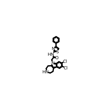 O=C(Cn1c2c(c3cc(Cl)c(Cl)cc31)CCNCC2)Nc1nc(-c2ccccc2)cs1